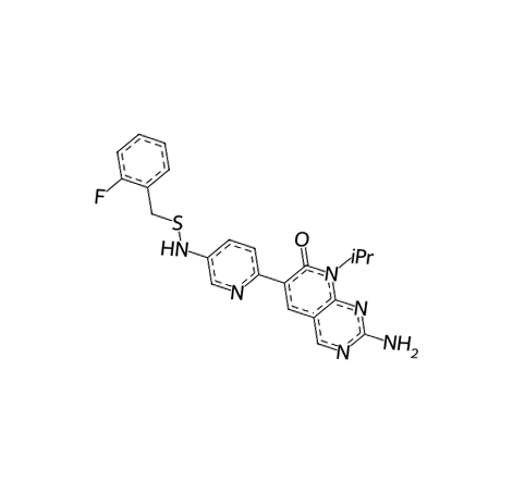 CC(C)n1c(=O)c(-c2ccc(NSCc3ccccc3F)cn2)cc2cnc(N)nc21